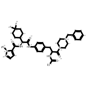 CCC(=O)NC(Cc1ccc(NC(=O)[C@@H](NC(=O)c2ccnn2C(C)C)C2CCC(F)(F)CC2)cc1)C(=O)N1CCN(Cc2ccccc2)CC1